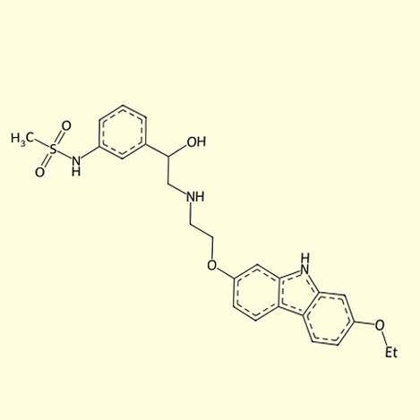 CCOc1ccc2c(c1)[nH]c1cc(OCCNCC(O)c3cccc(NS(C)(=O)=O)c3)ccc12